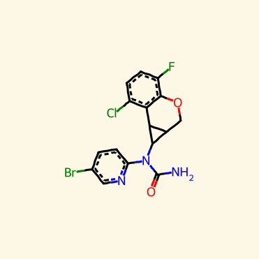 NC(=O)N(c1ccc(Br)cn1)C1C2COc3c(F)ccc(Cl)c3C21